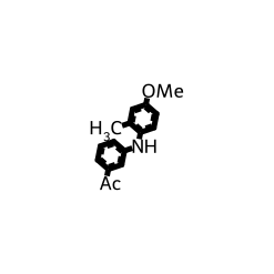 COc1ccc(Nc2cccc(C(C)=O)c2)c(C)c1